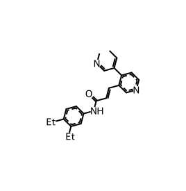 C/C=C(\C=N/C)c1ccncc1/C=C/C(=O)Nc1ccc(CC)c(CC)c1